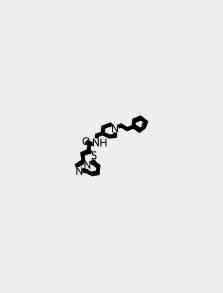 O=C(NCC1CCN(CCc2ccccc2)CC1)C1=Cc2cnc3cccc(n23)S1